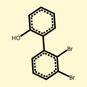 Oc1ccccc1-c1cccc(Br)c1Br